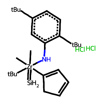 CC(C)(C)c1ccc(C(C)(C)C)c([NH][Zr]([CH3])([CH3])(=[SiH2])([C]2=CC=CC2)[C](C)(C)C)c1.Cl.Cl